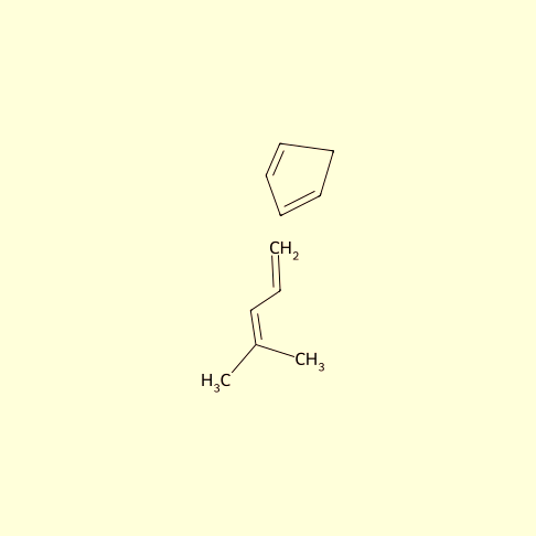 C1=CCC=C1.C=CC=C(C)C